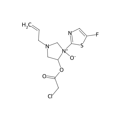 C=CCN1CC(OC(=O)CCl)[N+]([O-])(c2ncc(F)s2)C1